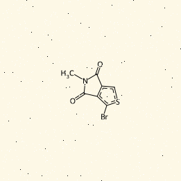 CN1C(=O)c2csc(Br)c2C1=O